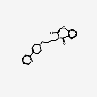 O=C1c2ccccc2OC=C(Cl)N1CCCCN1CC=C(c2ccccn2)CC1